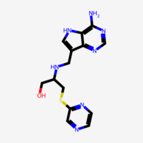 Nc1ncnc2c(CNC(CO)CSc3cnccn3)c[nH]c12